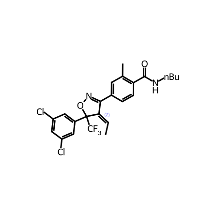 C/C=C1/C(c2ccc(C(=O)NCCCC)c(C)c2)=NOC1(c1cc(Cl)cc(Cl)c1)C(F)(F)F